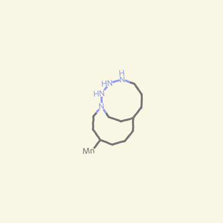 [Mn][CH]1CCCC2CCCNNNN(CC1)CC2